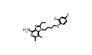 CCc1nc2c(N)nc(C)c(C)c2n1CCCCSc1ccc(F)cc1F